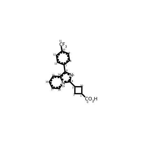 O=C(O)C1CC(c2nc(-c3ccc(C(F)(F)F)cc3)c3ccccn23)C1